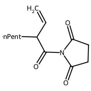 C=CC([CH]CCCC)C(=O)N1C(=O)CCC1=O